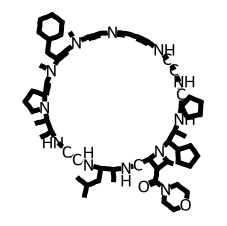 CC(C)CC1NCCNC(C)C(C)N2CCCC2=CN(C)C(CC2CCCCC2)=CN(C)C=CN=CC=CNCCNCC2(CCCC2)NC(C)C(C2CCCC2)N2C(C)C(C(=O)N3CCOCC3)C2CNC1C